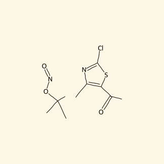 CC(=O)c1sc(Cl)nc1C.CC(C)(C)ON=O